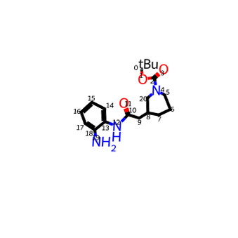 CC(C)(C)OC(=O)N1CCCC(CC(=O)Nc2ccccc2N)C1